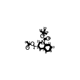 CC(=O)OC[C@H]1Cc2ccccc2N(C(=O)OC(C)(C)C)C1